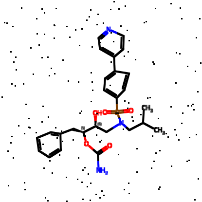 CC(C)CN(C[C@H](O)[C@H](Cc1ccccc1)OC(N)=O)S(=O)(=O)c1ccc(-c2ccncc2)cc1